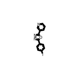 Ic1ccc(-c2nnc(-c3cccnc3)o2)cc1